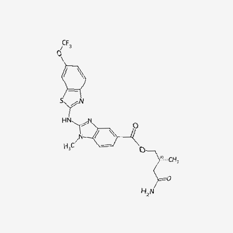 C[C@@H](COC(=O)c1ccc2c(c1)nc(Nc1nc3ccc(OC(F)(F)F)cc3s1)n2C)CC(N)=O